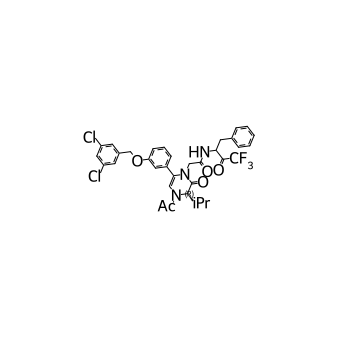 CC(=O)N1C=C(c2cccc(OCc3cc(Cl)cc(Cl)c3)c2)N(CC(=O)NC(Cc2ccccc2)C(=O)C(F)(F)F)C(=O)[C@H]1C(C)C